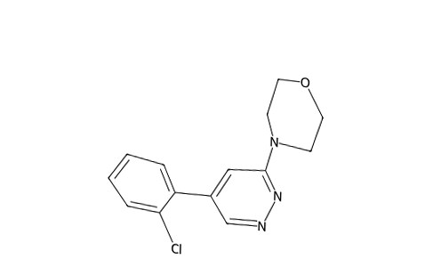 Clc1ccccc1-c1cnnc(N2CCOCC2)c1